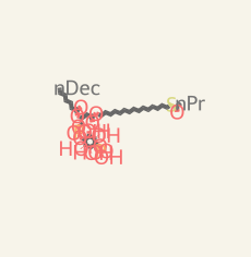 CCCCCCCCCCCCCCCC(=O)O[C@@H](COP(=O)(O)OC1C(O)[C@H](O)C(OP(=O)(O)O)[C@H](O)[C@@H]1O)CC(=O)OCCCCCCCCCCCCCCCSC(=O)CCC